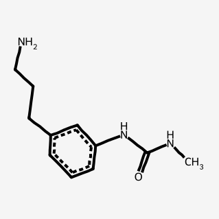 CNC(=O)Nc1cccc(CCCN)c1